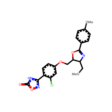 COCC1N=C(c2ccc(OC)cc2)OC1COc1ccc(-c2noc(=O)[nH]2)c(Cl)c1